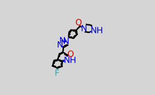 O=C(c1ccc(-n2cc(-c3cc4ccc(F)cc4[nH]c3=O)nn2)cc1)N1CCNCC1